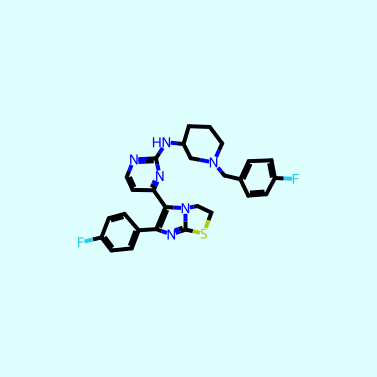 Fc1ccc(CN2CCCC(Nc3nccc(-c4c(-c5ccc(F)cc5)nc5n4CCS5)n3)C2)cc1